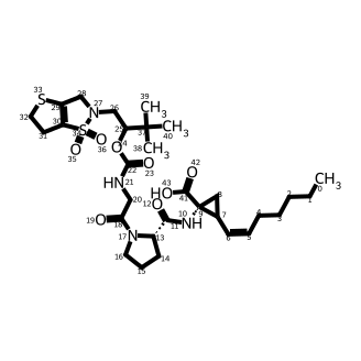 CCCCC/C=C\C1C[C@]1(NC(=O)[C@@H]1CCCN1C(=O)CNC(=O)OC(CN1CC2=C(CCS2)S1(=O)=O)C(C)(C)C)C(=O)O